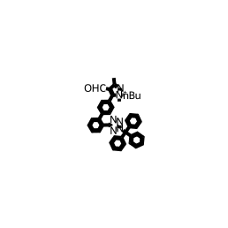 CCCC[N+]1(C)N=C(C)C(C=O)=C1c1ccc(-c2ccccc2-c2nnn(C(c3ccccc3)(c3ccccc3)c3ccccc3)n2)cc1